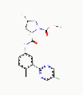 Cc1ccc(NC(=O)[C@H]2C[C@@H](C(F)(F)F)CN2C(=O)OC(C)(C)C)cc1-c1ncc(F)cn1